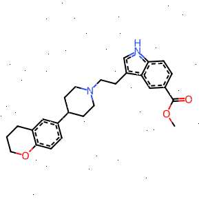 COC(=O)c1ccc2[nH]cc(CCN3CCC(c4ccc5c(c4)CCCO5)CC3)c2c1